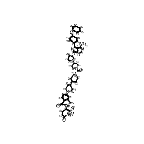 Nc1ncnc2c1c(-c1ccc(Oc3ccccc3)cc1)nn2C1CCCN(C2CCN(C(=O)N3CCC(C4CCN(c5ccc6c(c5)CN(C5CCC(=O)NC5=O)C6=O)CC4)CC3)CC2)C1